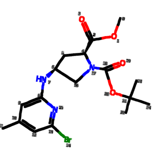 COC(=O)[C@@H]1C[C@H](Nc2cc(C)cc(Br)n2)CN1C(=O)OC(C)(C)C